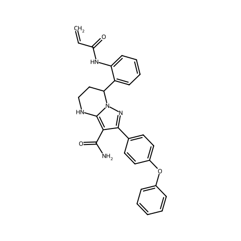 C=CC(=O)Nc1ccccc1C1CCNc2c(C(N)=O)c(-c3ccc(Oc4ccccc4)cc3)nn21